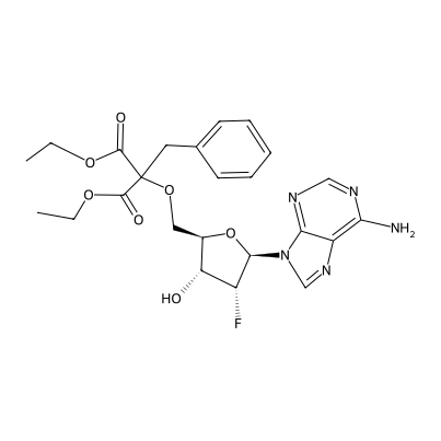 CCOC(=O)C(Cc1ccccc1)(OC[C@H]1O[C@@H](n2cnc3c(N)ncnc32)[C@H](F)[C@@H]1O)C(=O)OCC